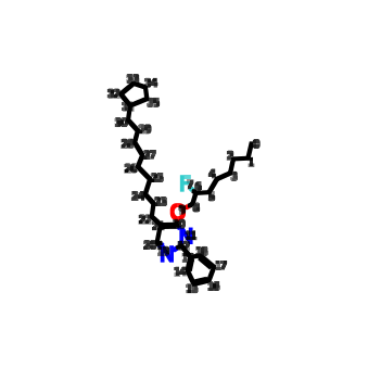 CCCCCCC(F)COc1nc(-c2ccccc2)ncc1CCCCCCCCCC1CCCC1